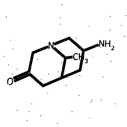 CC1C2CC(=O)CN1CC(N)C2